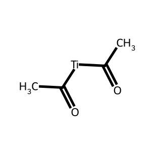 C[C](=O)[Ti][C](C)=O